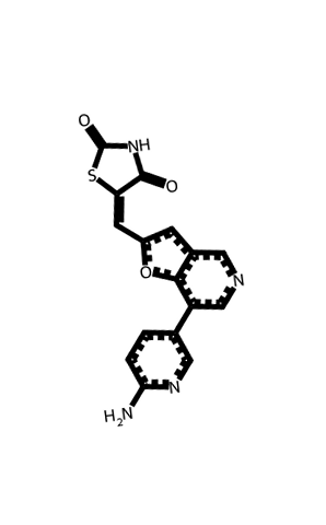 Nc1ccc(-c2cncc3cc(C=C4SC(=O)NC4=O)oc23)cn1